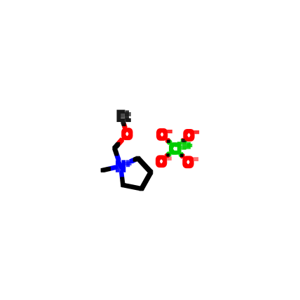 CCOC[N+]1(C)CCCC1.[O-][Cl+3]([O-])([O-])[O-]